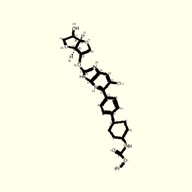 CC(C)OC(=O)NC1CCC(c2ccc(-c3nc4[nH]c(OC5CO[C@@H]6C(O)CO[C@H]56)nc4cc3Cl)cc2)CC1